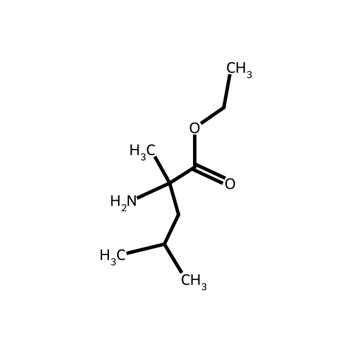 CCOC(=O)C(C)(N)CC(C)C